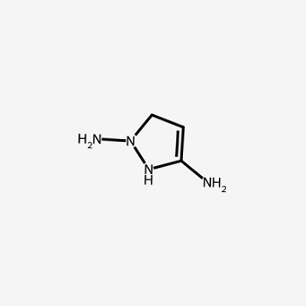 NC1=CCN(N)N1